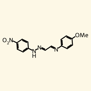 COc1ccc(N=CC=NNc2ccc([N+](=O)[O-])cc2)cc1